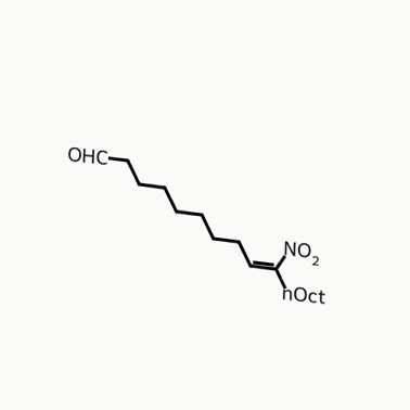 CCCCCCCCC(=CCCCCCCCC=O)[N+](=O)[O-]